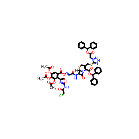 CC(=O)Oc1cc(C(=O)ON=CC(=O)N[C@@H]2C(=O)N3C(C(=O)OC(c4ccccc4)c4ccccc4)=C(CSc4nnnn4CC(=O)OC(c4ccccc4)c4ccccc4)CS[C@@H]23)c(-c2coc(NC(=O)CCl)n2)c(OC(C)=O)c1OC(C)=O